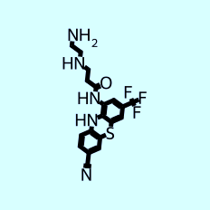 N#Cc1ccc2c(c1)Sc1cc(C(F)(F)F)cc(NC(=O)CCNCCN)c1N2